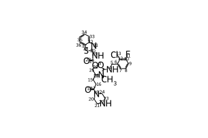 CN(C(=O)NCc1cccc(F)c1Cl)[C@@H](CCC(=O)N1CCNCC1)COC(=O)Nc1nc2ccccc2s1